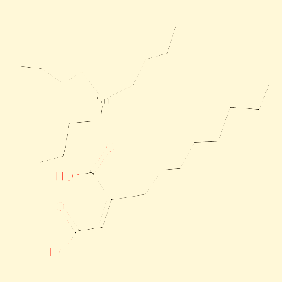 CCCCCCCCC(=CC(=O)O)C(=O)O.CCC[CH2][Sn]([CH2]CCC)[CH2]CCC